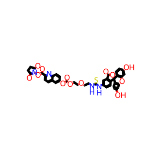 O=C(OCCOCCNC(=S)Nc1ccc2c(c1)C(=O)OC21c2ccc(O)cc2Oc2cc(O)ccc21)Oc1ccc2nc(C(=O)ON3C(=O)CCC3=O)ccc2c1